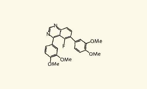 COc1ccc(-c2ccc3ncnc(-c4ccc(OC)c(OC)c4)c3c2F)cc1OC